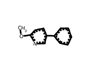 COc1ccc(-c2ccccc2)cn1